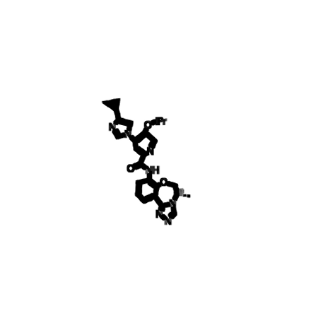 CC(C)Oc1cnc(C(=O)Nc2cccc3c2OC[C@H](C)n2cnnc2-3)cc1-n1cnc(C2CC2)c1